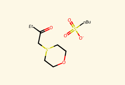 CCC(=O)C[S+]1CCOCC1.CCCCS(=O)(=O)[O-]